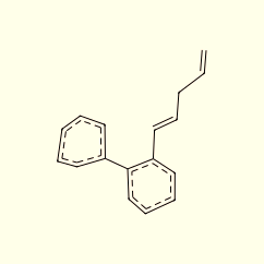 C=CCC=Cc1ccccc1-c1ccccc1